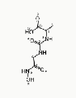 CC(NC(=O)NCC(=O)NO)C(=O)O